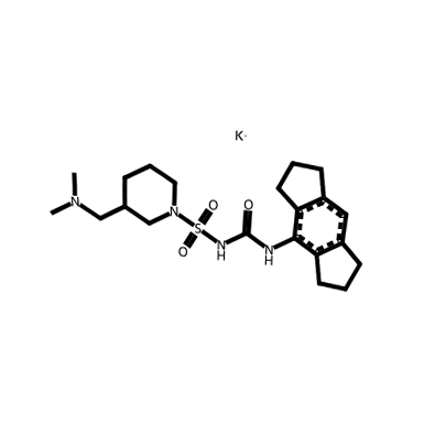 CN(C)CC1CCCN(S(=O)(=O)NC(=O)Nc2c3c(cc4c2CCC4)CCC3)C1.[K]